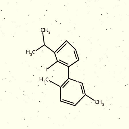 Cc1ccc(C)c(-c2cccc(C(C)C)c2I)c1